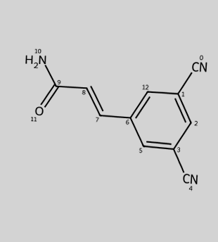 N#Cc1cc(C#N)cc(C=CC(N)=O)c1